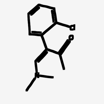 CC(=O)C(=CN(C)C)c1ccccc1Cl